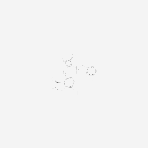 O=C1NCc2c(Cl)ccc(Nc3c(NCc4ccc(Cl)o4)c(=O)c3=O)c21